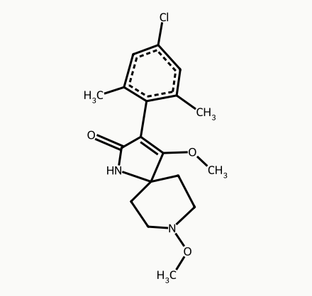 COC1=C(c2c(C)cc(Cl)cc2C)C(=O)NC12CCN(OC)CC2